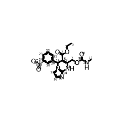 CCOC(=O)C1=C(COC(=O)NC)Nc2nccn2C1c1cccc([N+](=O)[O-])c1